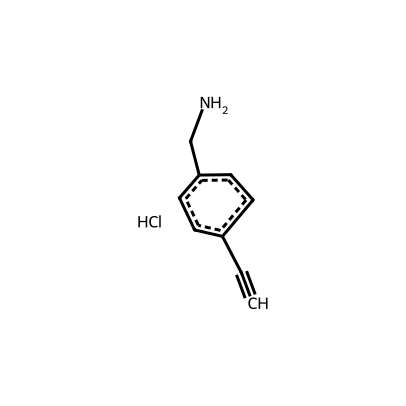 C#Cc1ccc(CN)cc1.Cl